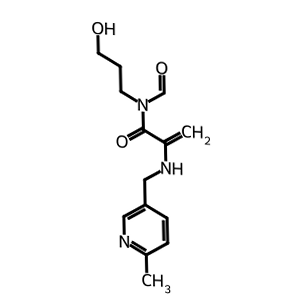 C=C(NCc1ccc(C)nc1)C(=O)N(C=O)CCCO